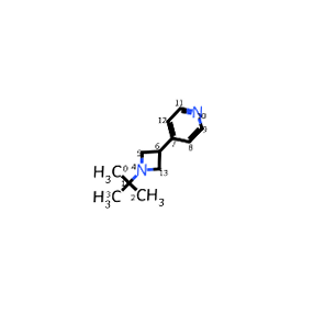 CC(C)(C)N1CC(c2ccncc2)C1